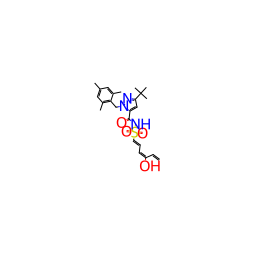 C=C/C(O)=C\C=C\S(=O)(=O)NC(=O)c1cc(C(C)(C)C)nn1Cc1c(C)cc(C)cc1C